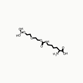 NC(CCCCNC(=O)OCCOCCON(O)O)C(=O)O